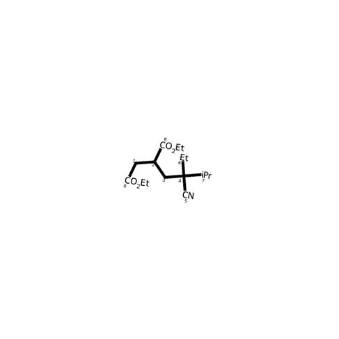 CCOC(=O)CC(CC(C#N)(CC)C(C)C)C(=O)OCC